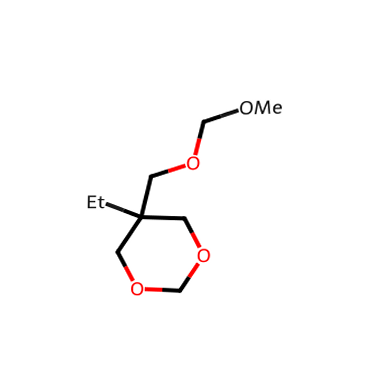 CCC1(COCOC)COCOC1